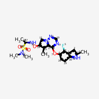 Cc1cc2c(F)c(Oc3ncnn4cc(ONC(C)S(=O)(=O)N(C)C)c(C)c34)ccc2[nH]1